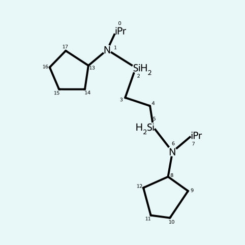 CC(C)N([SiH2]CC[SiH2]N(C(C)C)C1CCCC1)C1CCCC1